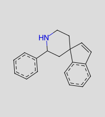 C1=CC2(CCNC(c3ccccc3)C2)c2ccccc21